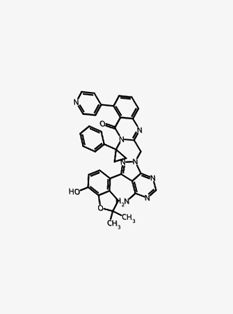 CC1(C)Cc2c(-c3nn(Cc4nc5cccc(-c6ccncc6)c5c(=O)n4C4(c5ccccc5)CC4)c4ncnc(N)c34)ccc(O)c2O1